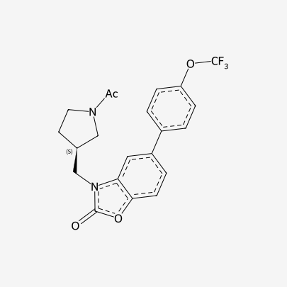 CC(=O)N1CC[C@H](Cn2c(=O)oc3ccc(-c4ccc(OC(F)(F)F)cc4)cc32)C1